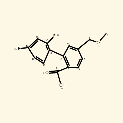 COCc1ccc(C(=O)O)c(-c2ccc(F)cc2F)c1